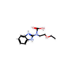 CCOCCN(C(=O)O)c1nc2ccccc2[nH]1